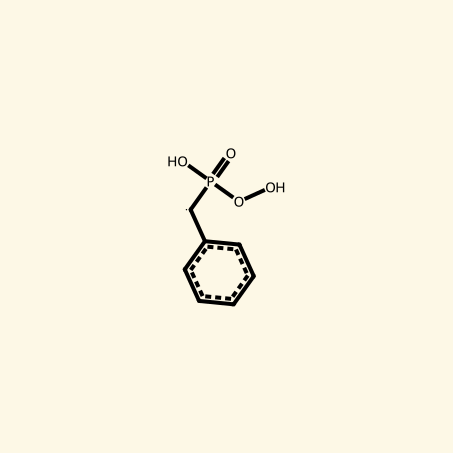 O=P(O)([CH]c1ccccc1)OO